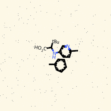 Cc1ccc(NC(C(=O)O)C(C)(C)C)cn1.Cc1ccccc1